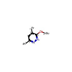 CCCCOc1nnc(C(C)C)cc1C(C)C